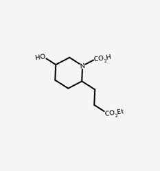 CCOC(=O)CCC1CCC(O)CN1C(=O)O